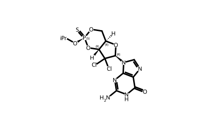 CC(C)O[P@@]1(=S)OC[C@H]2O[C@@H](n3cnc4c(=O)[nH]c(N)nc43)C(Cl)(Cl)[C@@H]2O1